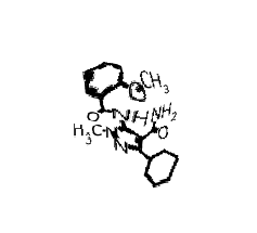 COc1ccccc1C(=O)Nc1c(C(N)=O)c(C2CCCCC2)nn1C